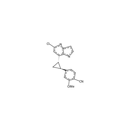 COc1cc([C@H]2C[C@@H]2c2cc(Cl)nn3ccnc23)ccc1C#N